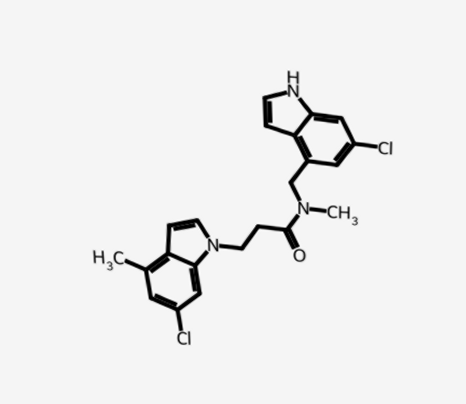 Cc1cc(Cl)cc2c1ccn2CCC(=O)N(C)Cc1cc(Cl)cc2[nH]ccc12